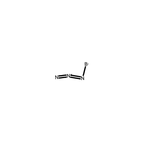 [B]N=[N+]=[N-]